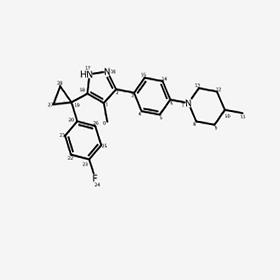 Cc1c(-c2ccc(N3CCC(C)CC3)cc2)n[nH]c1C1(c2ccc(F)cc2)CC1